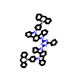 c1ccc(-c2nc(-n3c4ccccc4c4c3ccc3c5ccccc5n(-c5ccc(B6c7ccccc7Cc7ccccc76)cc5)c34)nc(-n3c4ccccc4c4c3ccc3c5ccccc5n(-c5ccc(B6c7ccccc7Cc7ccccc76)cc5)c34)n2)cc1